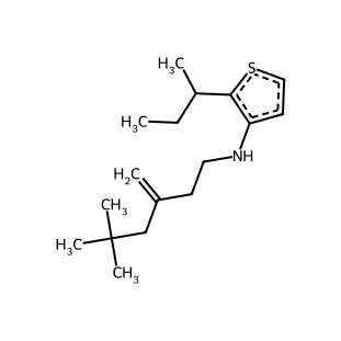 C=C(CCNc1ccsc1C(C)CC)CC(C)(C)C